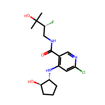 CC(C)(O)[C@H](F)CNC(=O)c1cnc(Cl)cc1N[C@@H]1CCC[C@H]1O